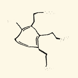 CNCc1ccc(O)c(CNC)c1CNC